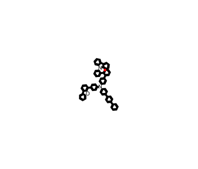 c1ccc(-c2ccc(-c3ccc(N(c4ccc(-c5ccccc5-c5ccccc5-n5c6ccccc6c6ccccc65)cc4)c4ccc(-c5cccc6c5oc5ccccc56)cc4)cc3)cc2)cc1